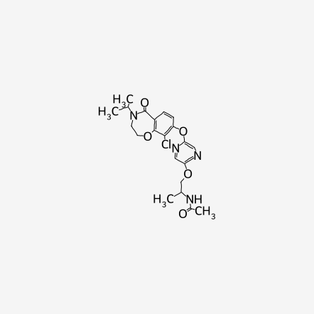 CC(=O)NC(C)COc1cnc(Oc2ccc3c(c2Cl)OCCN(C(C)C)C3=O)cn1